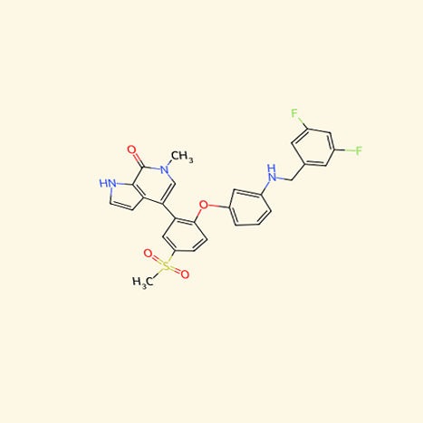 Cn1cc(-c2cc(S(C)(=O)=O)ccc2Oc2cccc(NCc3cc(F)cc(F)c3)c2)c2cc[nH]c2c1=O